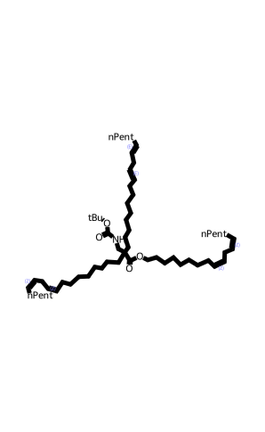 CCCCC/C=C\C/C=C\CCCCCCCCOC(=O)C(CCCCCCCC/C=C\C/C=C\CCCCC)(CCCCCCCC/C=C/C/C=C/CCCCC)CNC(=O)OC(C)(C)C